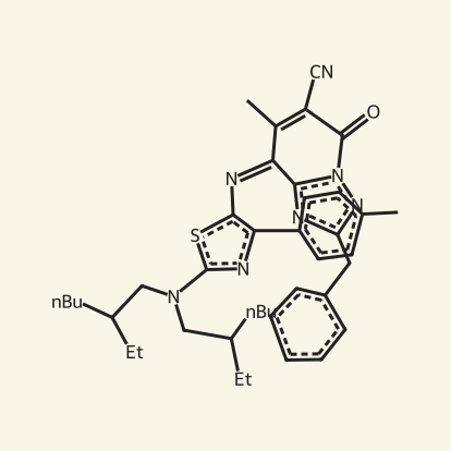 CCCCC(CC)CN(CC(CC)CCCC)c1nc(-c2ccc(C)cc2)c(/N=C2/C(C)=C(C#N)C(=O)n3nc(Cc4ccccc4)nc32)s1